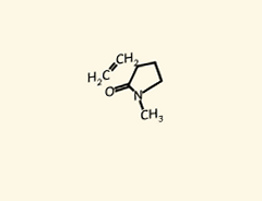 C=C.CN1CCCC1=O